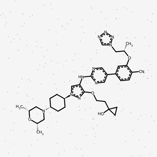 C[C@@H]1CN([C@H]2CC[C@H](n3cc(Nc4ncc(-c5ccc(C#N)c(O[C@@H](C)Cn6cnnn6)c5)cn4)c(OCCC4(O)CC4)n3)CC2)C[C@H](C)O1